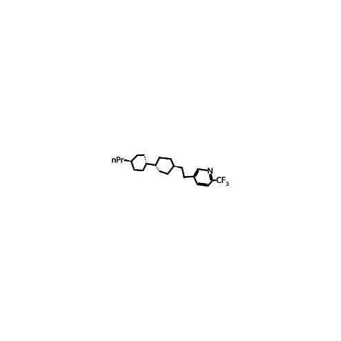 CCC[C@H]1CC[C@H]([C@H]2CC[C@H](CCc3ccc(C(F)(F)F)nc3)CC2)CC1